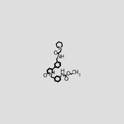 CCOC(=O)Nc1cccc(Cn2nc(-c3cccc(CNC(=O)CN4CCCCC4)c3)ccc2=O)c1